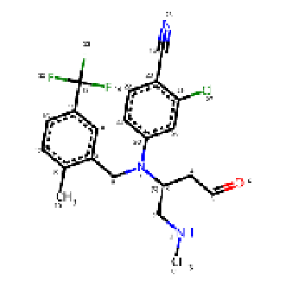 CNC[C@H](CC=O)N(Cc1cc(C(F)(F)F)ccc1C)c1ccc(C#N)c(Cl)c1